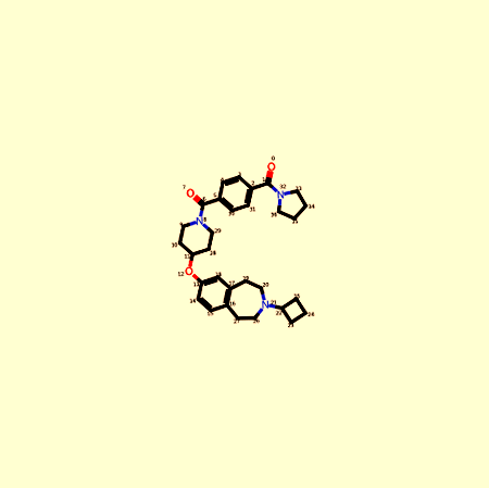 O=C(c1ccc(C(=O)N2CCC(Oc3ccc4c(c3)CCN(C3CCC3)CC4)CC2)cc1)N1CCCC1